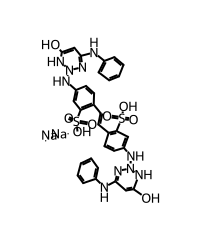 O=S(=O)(O)c1cc(NN2N=C(Nc3ccccc3)C=C(O)N2)ccc1C=Cc1ccc(NN2N=C(Nc3ccccc3)C=C(O)N2)cc1S(=O)(=O)O.[Na].[Na]